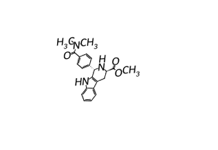 COC(=O)[C@H]1Cc2c([nH]c3ccccc23)[C@H](c2ccc(C(=O)N(C)C)cc2)N1